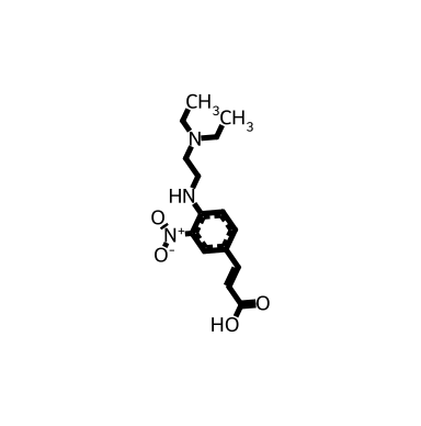 CCN(CC)CCNc1ccc(/C=C/C(=O)O)cc1[N+](=O)[O-]